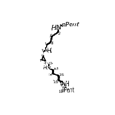 CCCCCNCCCCNC[C@H]1C[C@H]1CNCCCCNC(C)CCC